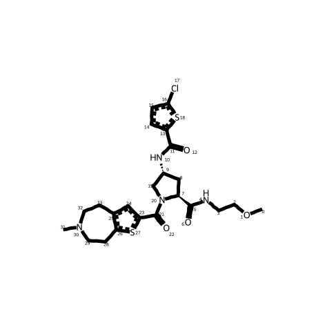 COCCNC(=O)[C@@H]1C[C@@H](NC(=O)c2ccc(Cl)s2)CN1C(=O)c1cc2c(s1)CCN(C)CC2